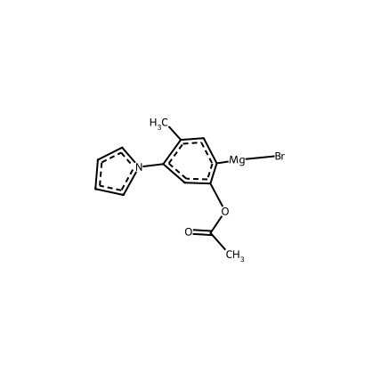 CC(=O)Oc1cc(-n2cccc2)c(C)c[c]1[Mg][Br]